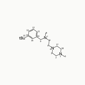 CN1CCN(CCN(C)Cc2cccc(C(C)(C)C)c2)CC1